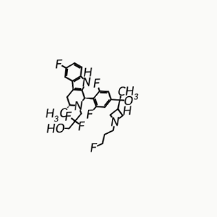 C[C@@H]1Cc2c([nH]c3ccc(F)cc23)[C@@H](c2c(F)cc([C@](C)(O)C3CN(CCCF)C3)cc2F)N1CC(F)(F)CO